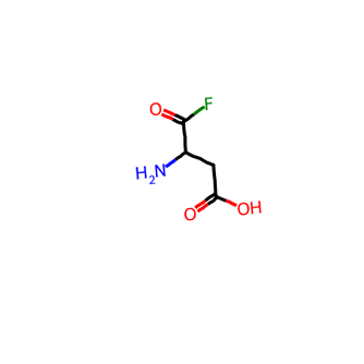 NC(CC(=O)O)C(=O)F